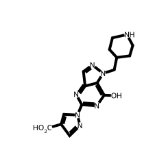 O=C(O)c1cnn(-c2nc(O)c3c(cnn3CC3CCNCC3)n2)c1